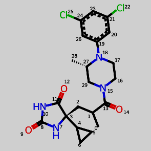 CC(C[C@@]1(C2CC2)NC(=O)NC1=O)C(=O)N1CCN(c2cc(Cl)cc(Cl)c2)[C@@H](C)C1